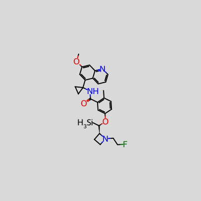 COc1cc(C2(NC(=O)c3cc(OC([SiH3])[C@@H]4CCN4CCF)ccc3C)CC2)c2cccnc2c1